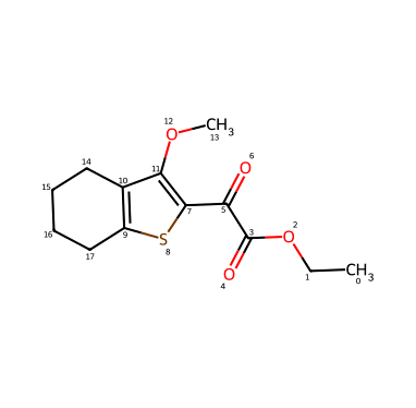 CCOC(=O)C(=O)c1sc2c(c1OC)CCCC2